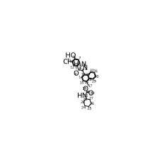 NN=C(C(=O)c1ccc(O)c(Cl)c1)c1ccc(COC(=O)NC2CCCCC2)c2ccccc12